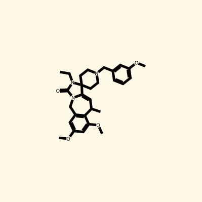 CCN1C(=O)N2Cc3cc(OC)cc(OC)c3C(C)C=C2C12CCN(Cc1cccc(OC)c1)CC2